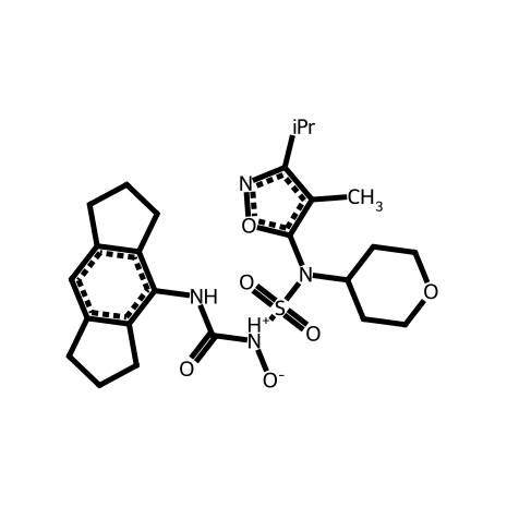 Cc1c(C(C)C)noc1N(C1CCOCC1)S(=O)(=O)[NH+]([O-])C(=O)Nc1c2c(cc3c1CCC3)CCC2